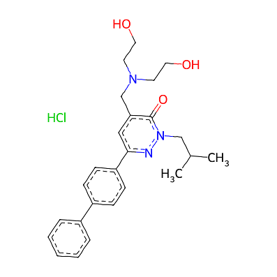 CC(C)Cn1nc(-c2ccc(-c3ccccc3)cc2)cc(CN(CCO)CCO)c1=O.Cl